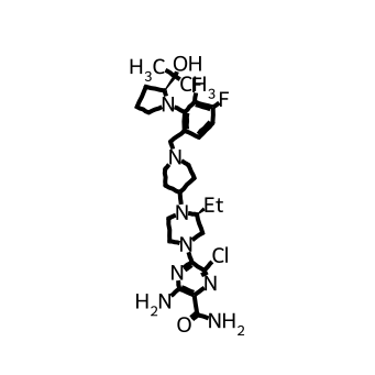 CC[C@H]1CN(c2nc(N)c(C(N)=O)nc2Cl)CCN1C1CCN(Cc2ccc(F)c(F)c2N2CCC[C@H]2C(C)(C)O)CC1